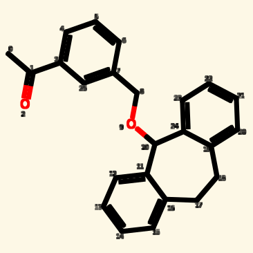 CC(=O)c1cccc(COC2c3ccccc3CCc3ccccc32)c1